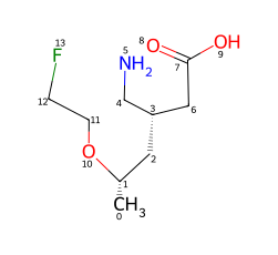 C[C@@H](C[C@H](CN)CC(=O)O)OCCF